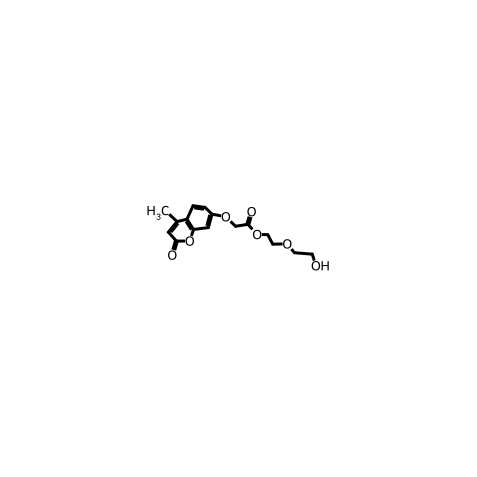 Cc1cc(=O)oc2cc(OCC(=O)OCCOCCO)ccc12